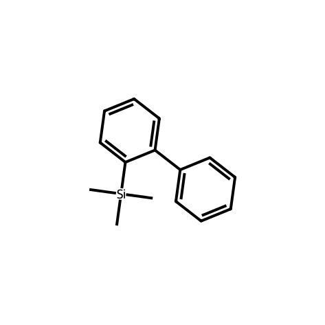 C[Si](C)(C)c1ccccc1-c1ccccc1